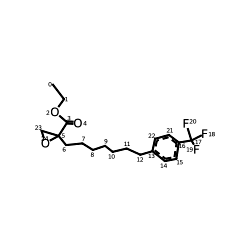 CCOC(=O)C1(CCCCCCCc2ccc(C(F)(F)F)cc2)CO1